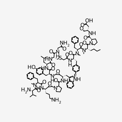 CCCC[C@@H](C(=O)N1CCC[C@@H]1C(=O)N[C@H](C=O)CC(=O)O)N(C)C(=O)[C@H](Cc1ccccc1)N(C)C(=O)[C@H](Cc1ccc(F)cc1)NC(=O)CSC[C@H](NC(=O)[C@H](CC(C)C)NC(=O)[C@H](Cc1ccc(O)cc1)NC1OC1[C@H](Cc1c[nH]c2ccccc12)NC(=O)C1CCCN1C1OC1[C@H](CCCN)NC(=O)C(Cc1ccccc1)N(C)C(=O)[C@@H](N)C(C)C)C(=O)NCC(N)=O